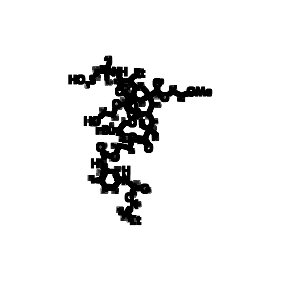 CCCCC(CC)COC(=O)C(CC(C)(C)C(=O)OCCOC(=O)Nc1cc(NC(=O)ON=C(C)CC)ccc1C)CC(C)(CC(C)(CC(CC)C(=O)NC(C)(C)CS(=O)(=O)O)C(=O)OCCO)C(=O)OCCOC